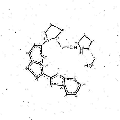 OC[C@H]1CCCN1.OC[C@H]1CCCN1c1ccc2ncc(-c3cc4ccccc4s3)n2n1